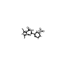 Cc1nc(C)n2nc(-c3cccc([SH](=O)=O)c3)[nH]c(=O)c12